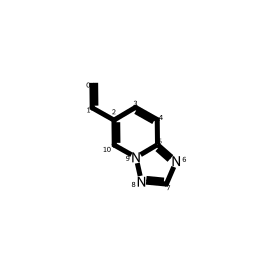 C=Cc1ccc2ncnn2c1